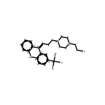 FCCN1CCN(CCC=C2c3ccccc3Sc3ccc(C(F)(F)F)cc32)CC1